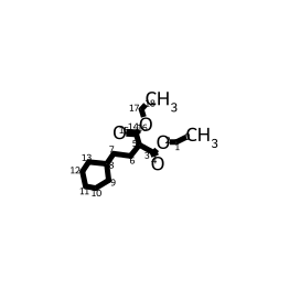 CCOC(=O)C(CCC1CCCCC1)C(=O)OCC